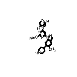 COc1nc(N2C[C@H]3C[C@@H]2CO3)cc(-n2ncc3cc(C)c(C4CCNCC4)cc32)n1